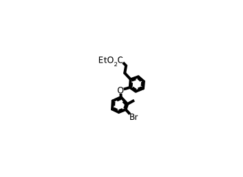 CCOC(=O)CCc1ccccc1Oc1cccc(Br)c1C